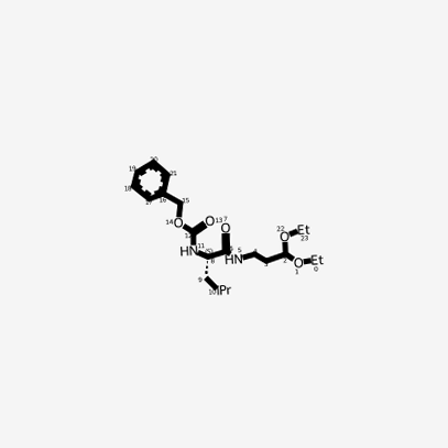 CCOC(CCNC(=O)[C@H](CC(C)C)NC(=O)OCc1ccccc1)OCC